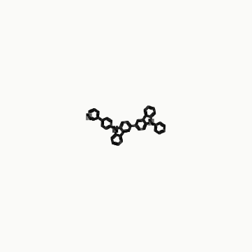 c1ccc(-n2c3ccccc3c3cc(-c4ccc5c(c4)c4ccccc4n5-c4ccc(-c5cccnc5)cc4)ccc32)cc1